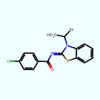 CCC(C(=O)O)n1c(=NC(=O)c2ccc(Cl)cc2)sc2ccccc21